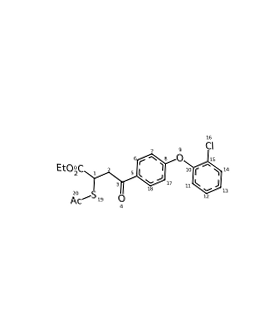 CCOC(=O)C(CC(=O)c1ccc(Oc2ccccc2Cl)cc1)SC(C)=O